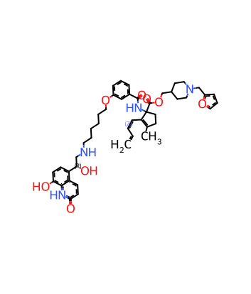 C=C/C=C\C1=C(C)CCC1(NC(=O)c1cccc(OCCCCCCNC[C@H](O)c2ccc(O)c3[nH]c(=O)ccc23)c1)C(=O)OCC1CCN(Cc2ccco2)CC1